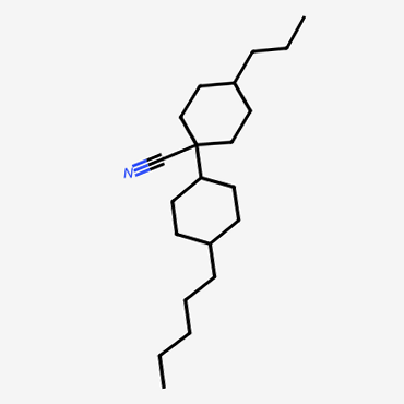 CCCCCC1CCC(C2(C#N)CCC(CCC)CC2)CC1